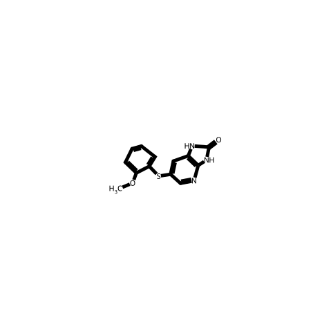 COc1ccccc1Sc1cnc2[nH]c(=O)[nH]c2c1